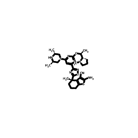 C[C@@H]1CN(c2cc(-c3noc([C@@]4(C)CCCc5sc(N)c(C#N)c54)n3)nc(O[C@@H](C)[C@@H]3CCCN3C)n2)C[C@@H](C)N1